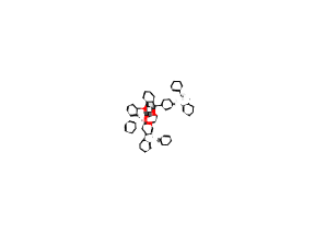 c1ccc(C2Nc3ccccc3N2c2ccc(-c3c4ccccc4c(-c4ccccc4[Si](c4ccccc4)(c4ccccc4)c4ccc5c(c4)c4ccccc4n5-c4ccccc4)c4ccccc34)cc2)cc1